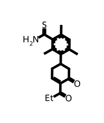 CCC(=O)C1=CCC(c2c(C)cc(C)c(C(N)=S)c2C)CC1=O